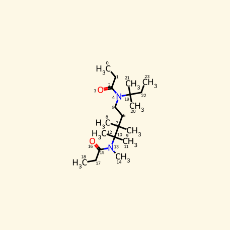 CCC(=O)N(CCC(C)(C)C(C)(C)N(C)C(=O)CC)C(C)(C)CC